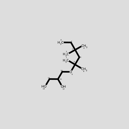 CCC(C)(C)CC(C)(C)OCC(O)CO